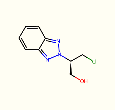 OC[C@H](CCl)n1nc2ccccc2n1